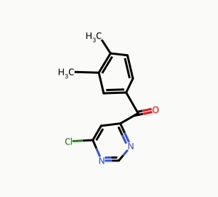 Cc1ccc(C(=O)c2cc(Cl)ncn2)cc1C